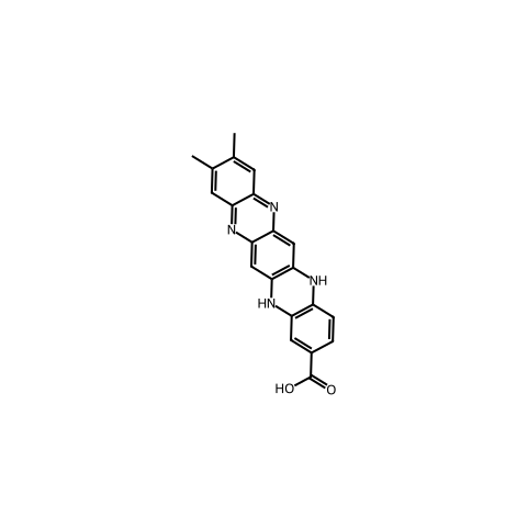 Cc1cc2nc3cc4c(cc3nc2cc1C)Nc1cc(C(=O)O)ccc1N4